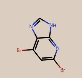 Brc1cc(Br)c2nc[nH]c2n1